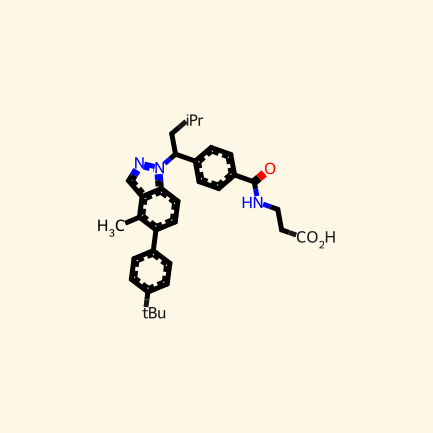 Cc1c(-c2ccc(C(C)(C)C)cc2)ccc2c1cnn2C(CC(C)C)c1ccc(C(=O)NCCC(=O)O)cc1